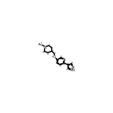 CC(=O)N1CCC(COc2ccc(-c3cn[nH]c3)nc2)CC1